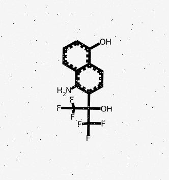 Nc1c(C(O)(C(F)(F)F)C(F)(F)F)ccc2c(O)cccc12